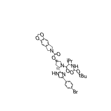 CC(C)C(NC(=O)OC(C)(C)C)C(=O)N1C[C@H](OC(=O)N2Cc3cc4c(cc3C2)OCO4)C[C@H]1c1nc(-c2ccc(Br)cc2)c[nH]1